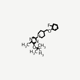 Cc1ncc(N2CCC(COc3ccccc3F)CC2)nc1OC(C)(C)C